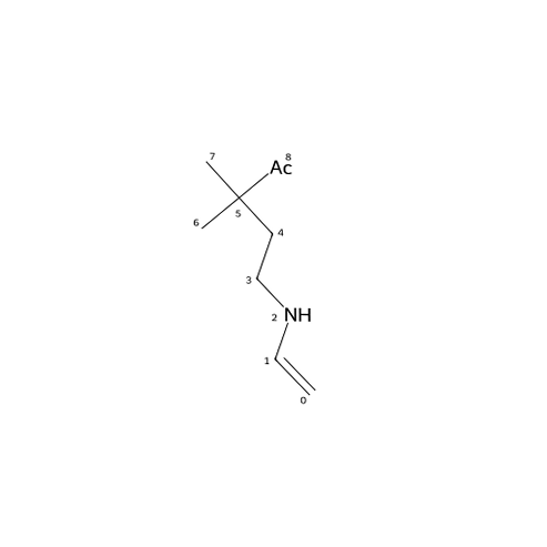 C=CNCCC(C)(C)C(C)=O